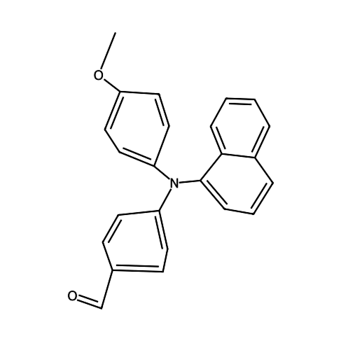 COc1ccc(N(c2ccc(C=O)cc2)c2cccc3ccccc23)cc1